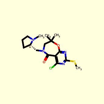 CSc1nc(Cl)c2c(n1)OC(C)(C)CN(C[C@@H]1CCCN1C)C2=O